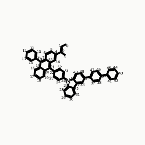 C/C=C(\C)c1ccc2c(-c3ccccc3)c3ccccc3c(-c3ccc(-n4c5ccccc5c5cc(-c6ccc(-c7ccccc7)cc6)ccc54)cc3)c2c1